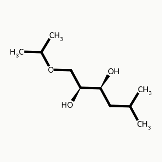 CC(C)C[C@H](O)[C@@H](O)COC(C)C